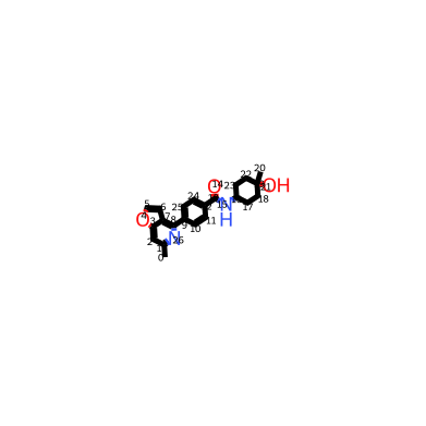 Cc1cc2occc2c(-c2ccc(C(=O)NC3CCC(C)(O)CC3)cc2)n1